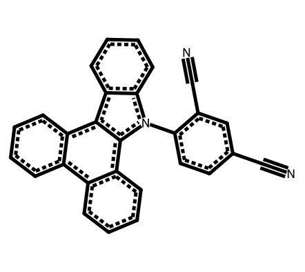 N#Cc1ccc(-n2c3ccccc3c3c4ccccc4c4ccccc4c32)c(C#N)c1